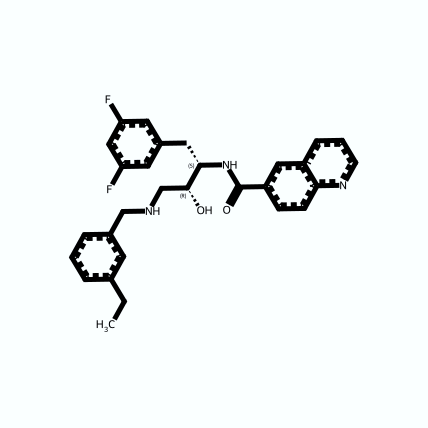 CCc1cccc(CNC[C@@H](O)[C@H](Cc2cc(F)cc(F)c2)NC(=O)c2ccc3ncccc3c2)c1